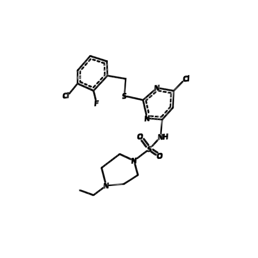 CCN1CCN(S(=O)(=O)Nc2cc(Cl)nc(SCc3cccc(Cl)c3F)n2)CC1